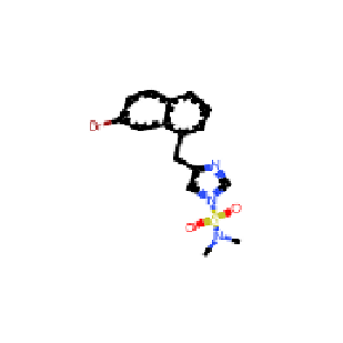 CN(C)S(=O)(=O)n1cnc(Cc2cccc3ccc(Br)cc23)c1